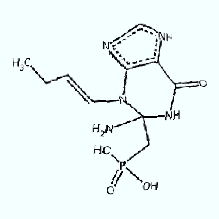 CCC=CN1c2nc[nH]c2C(=O)NC1(N)CP(=O)(O)O